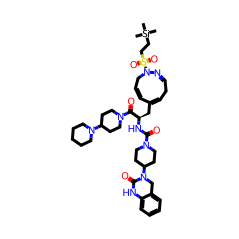 C[Si](C)(C)CCS(=O)(=O)N1C/C=C\C(C[C@@H](NC(=O)N2CCC(N3Cc4ccccc4NC3=O)CC2)C(=O)N2CCC(N3CCCCC3)CC2)=C/C/C=N\1